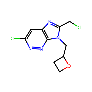 ClCc1nc2cc(Cl)nnc2n1CC1CCO1